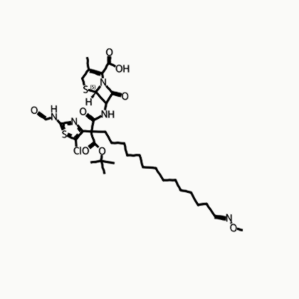 CON=CCCCCCCCCCCCCCC(C(=O)NC1C(=O)N2C(C(=O)O)=C(C)CS[C@@H]12)(C(=O)OC(C)(C)C)c1nc(NC=O)sc1Cl